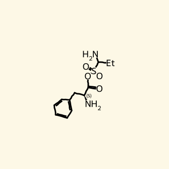 CCC(N)S(=O)(=O)OC(=O)[C@@H](N)Cc1ccccc1